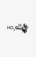 CN1CCC=C(c2nsnc2SCCCCCC(=O)O)C1